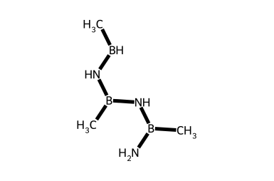 CBNB(C)NB(C)N